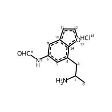 CC(N)Cc1cc(NC=O)cc2ccoc12.Cl